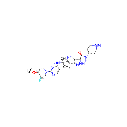 CO[C@H]1CCN(c2nccc(NC(C)(C)c3cc4n[nH]c(C(=O)NC5CCNCC5)c4cn3)n2)C[C@H]1F